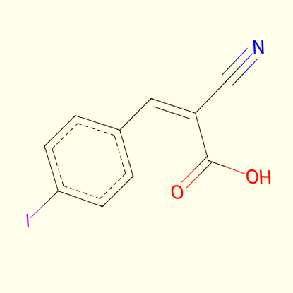 N#CC(=Cc1ccc(I)cc1)C(=O)O